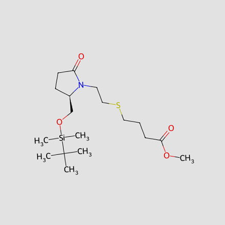 COC(=O)CCCSCCN1C(=O)CC[C@@H]1CO[Si](C)(C)C(C)(C)C